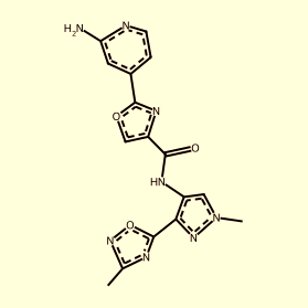 Cc1noc(-c2nn(C)cc2NC(=O)c2coc(-c3ccnc(N)c3)n2)n1